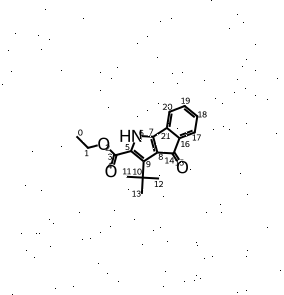 CCOC(=O)c1[nH]c2c(c1C(C)(C)C)C(=O)c1ccccc1-2